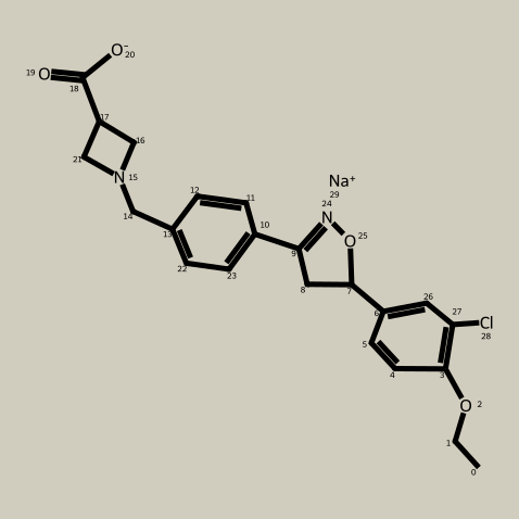 CCOc1ccc(C2CC(c3ccc(CN4CC(C(=O)[O-])C4)cc3)=NO2)cc1Cl.[Na+]